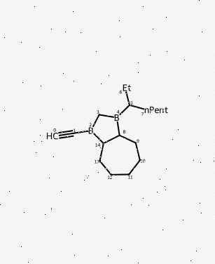 C#CB1CB(C(CC)CCCCC)C2CCCCCC12